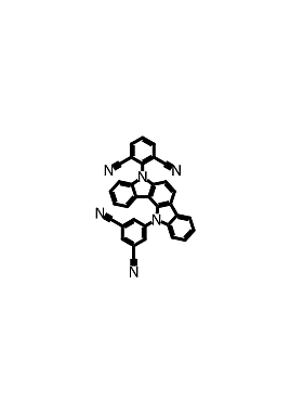 N#Cc1cc(C#N)cc(-n2c3ccccc3c3ccc4c(c5ccccc5n4-c4c(C#N)cccc4C#N)c32)c1